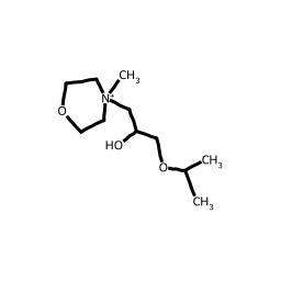 CC(C)OCC(O)C[N+]1(C)CCOCC1